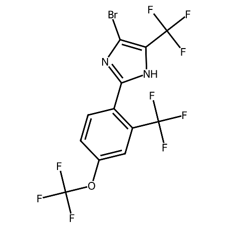 FC(F)(F)Oc1ccc(-c2nc(Br)c(C(F)(F)F)[nH]2)c(C(F)(F)F)c1